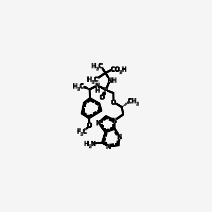 C[C@H](Cn1cnc2c(N)ncnc21)OCP(=O)(N[C@H](C)c1ccc(OC(F)(F)F)cc1)NC(C)(C)C(=O)O